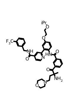 CC(C)OCCOc1ccc(NC(=O)c2cccc(C(=O)C(C)(N)CCN3CCOCC3)c2)c(-c2cc(C(=O)NCc3cccc(C(F)(F)F)c3)ccn2)c1